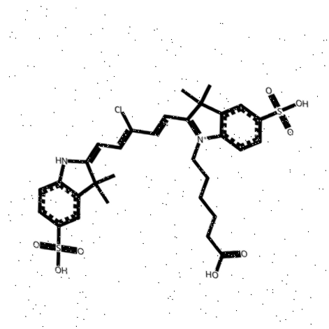 CC1(C)C(/C=C/C(Cl)=C/C=C2/Nc3ccc(S(=O)(=O)O)cc3C2(C)C)=[N+](CCCCCC(=O)O)c2ccc(S(=O)(=O)O)cc21